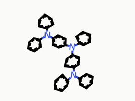 c1ccc(N(c2ccccc2)c2ccc(N(c3ccccc3)c3ccc(N(c4ccccc4)c4ccccc4)cc3)cc2)cc1